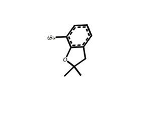 CC1(C)Cc2cccc(C(C)(C)C)c2O1